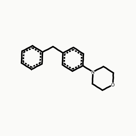 [c]1cccc(Cc2ccc(N3CCOCC3)cc2)c1